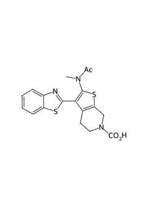 CC(=O)N(C)c1sc2c(c1-c1nc3ccccc3s1)CCN(C(=O)O)C2